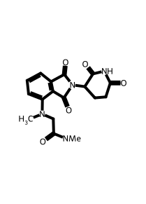 CNC(=O)CN(C)c1cccc2c1C(=O)N(C1CCC(=O)NC1=O)C2=O